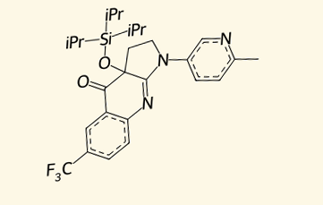 Cc1ccc(N2CCC3(O[Si](C(C)C)(C(C)C)C(C)C)C(=O)c4cc(C(F)(F)F)ccc4N=C23)cn1